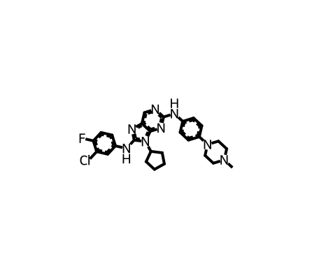 CN1CCN(c2ccc(Nc3ncc4nc(Nc5ccc(F)c(Cl)c5)n(C5CCCC5)c4n3)cc2)CC1